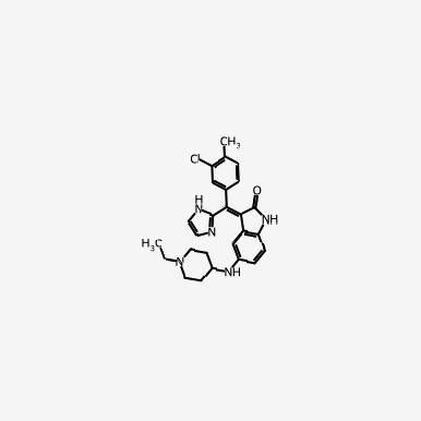 CCN1CCC(Nc2ccc3c(c2)C(=C(c2ccc(C)c(Cl)c2)c2ncc[nH]2)C(=O)N3)CC1